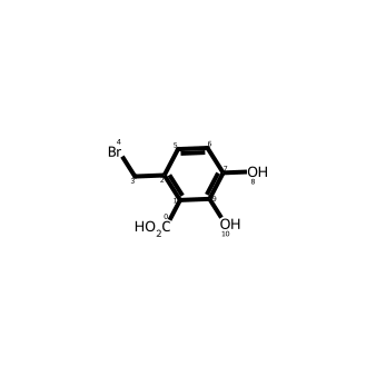 O=C(O)c1c(CBr)ccc(O)c1O